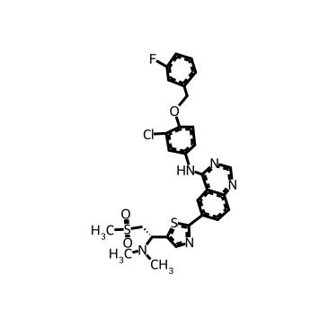 CN(C)[C@H](CS(C)(=O)=O)c1cnc(-c2ccc3ncnc(Nc4ccc(OCc5cccc(F)c5)c(Cl)c4)c3c2)s1